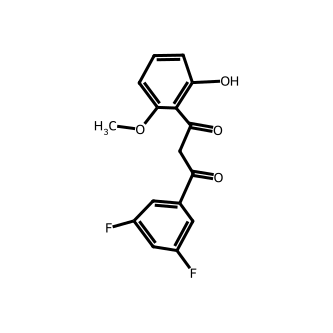 COc1cccc(O)c1C(=O)CC(=O)c1cc(F)cc(F)c1